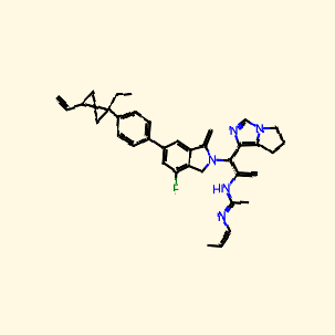 C=CC1CC12CC2(CC)c1ccc(-c2cc(F)c3c(c2)C(=C)N(C(C(=C)N/C(C)=N/C=C\C)c2ncn4c2CCC4)C3)cc1